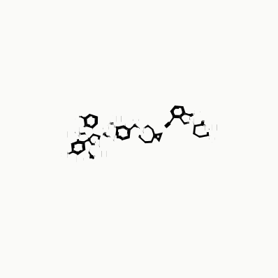 COc1cc(C(=O)N2CCCC3(CC2)C[C@H]3C#Cc2cccc3c2CN([C@H]2CCC(=O)NC2=O)C3=O)ccc1NC(=O)[C@@H]1N[C@@H](CC(C)(C)C)[C@@]2(CNc3cc(Cl)ccc32)[C@H]1c1cccc(Cl)c1F